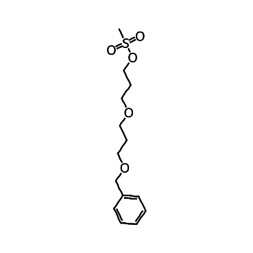 CS(=O)(=O)OCCCOCCCOCc1ccccc1